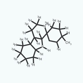 [2H]C1CC2(N([2H])C([2H])([2H])C([2H])([2H])C3([2H])C2([2H])N([2H])C2([2H])C([2H])([2H])C([2H])([2H])C([2H])([2H])C([2H])([2H])C23[2H])C([2H])([2H])C([2H])([2H])C1([2H])C